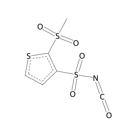 CS(=O)(=O)c1sccc1S(=O)(=O)N=C=O